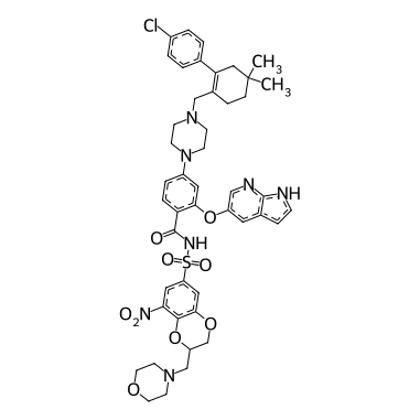 CC1(C)CCC(CN2CCN(c3ccc(C(=O)NS(=O)(=O)c4cc5c(c([N+](=O)[O-])c4)OC(CN4CCOCC4)CO5)c(Oc4cnc5[nH]ccc5c4)c3)CC2)=C(c2ccc(Cl)cc2)C1